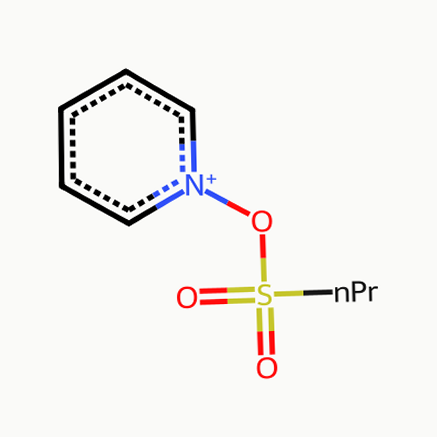 CCCS(=O)(=O)O[n+]1ccccc1